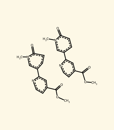 COC(=O)c1ccnc(-c2ccc(=O)n(C)c2)c1.COC(=O)c1ccnc(-c2ccc(=O)n(C)c2)c1